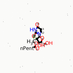 CCCCCC(=O)O[C@@]1(O)[C@@H](CO)O[C@@H](n2ccc(=O)[nH]c2=O)[C@]1(C)F